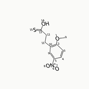 COc1ccc([N+](=O)[O-])cc1CCC(O)=S